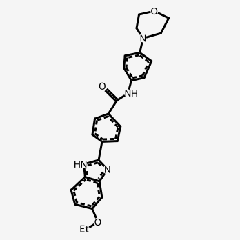 CCOc1ccc2[nH]c(-c3ccc(C(=O)Nc4ccc(N5CCOCC5)cc4)cc3)nc2c1